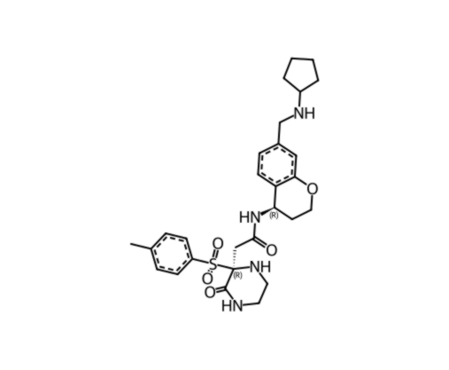 Cc1ccc(S(=O)(=O)[C@@]2(CC(=O)N[C@@H]3CCOc4cc(CNC5CCCC5)ccc43)NCCNC2=O)cc1